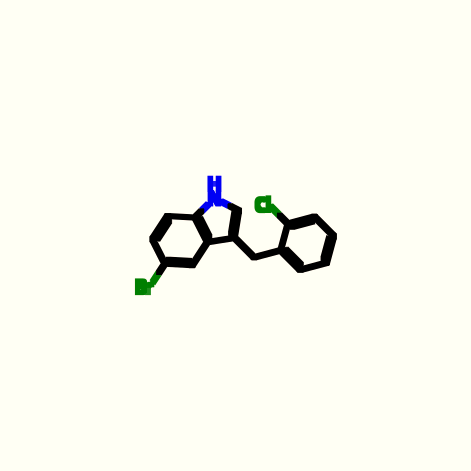 Clc1ccccc1Cc1c[nH]c2ccc(Br)cc12